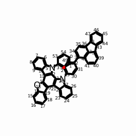 c1ccc(-n2c3ccccc3c3c4oc5ccccc5c4c4c5ccccc5n(-c5ccc(-c6ccc7c8c(cccc68)-c6ccccc6-7)cc5)c4c32)cc1